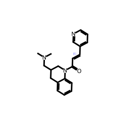 CN(C)CC1Cc2ccccc2N(C(=O)/C=C/c2cccnc2)C1